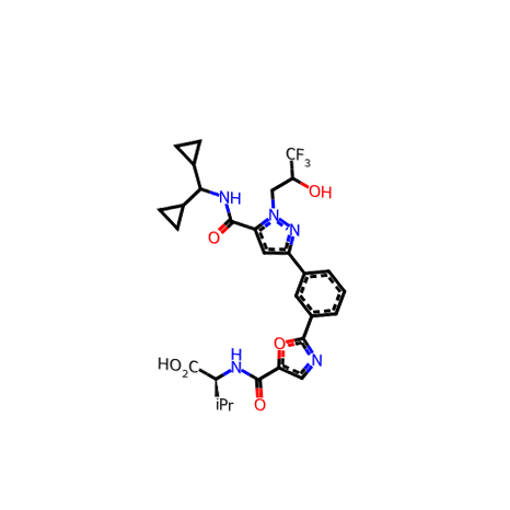 CC(C)[C@H](NC(=O)c1cnc(-c2cccc(-c3cc(C(=O)NC(C4CC4)C4CC4)n(CC(O)C(F)(F)F)n3)c2)o1)C(=O)O